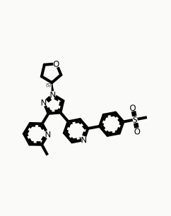 Cc1cccc(-c2nn([C@H]3CCOC3)cc2-c2ccnc(-c3ccc(S(C)(=O)=O)cc3)c2)n1